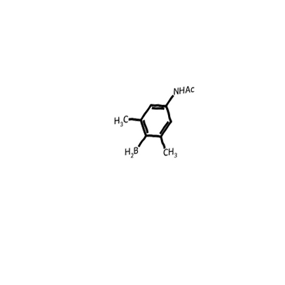 Bc1c(C)cc(NC(C)=O)cc1C